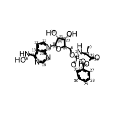 C[C@H](NP(=O)(OC[C@H]1O[C@@H](n2ccc3c(NO)ncnc32)[C@H](O)[C@@H]1O)Oc1ccccc1)C(=O)O